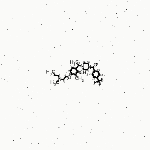 CCCN(C)CCOc1ccc(C(C)N2CCN(C(=O)c3ccc(C(F)(F)F)cc3)CC2)c(C)c1C